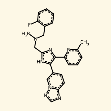 BN(Cc1nc(-c2cccc(C)n2)c(-c2ccc3ncnn3c2)[nH]1)Cc1ccccc1F